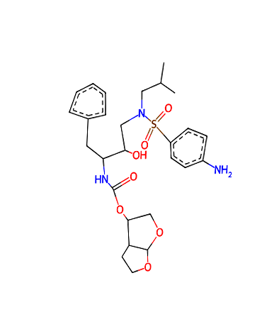 CC(C)CN(CC(O)C(Cc1ccccc1)NC(=O)OC1COC2OCCC12)S(=O)(=O)c1ccc(N)cc1